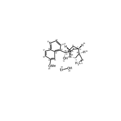 C=C[C@H]1C[N@]2CC[C@H]1C[C@H]2[C@H](O)c1ccnc2ccc(OC)cc12.CCO